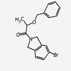 CC(OCc1ccccc1)C(=O)N1Cc2ccc(Br)cc2C1